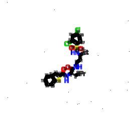 CCC(CCNC(=O)[C@H](CC(C)C)NC(=O)c1cc2ccccc2s1)NS(=O)(=O)c1ccc(Cl)cc1Cl